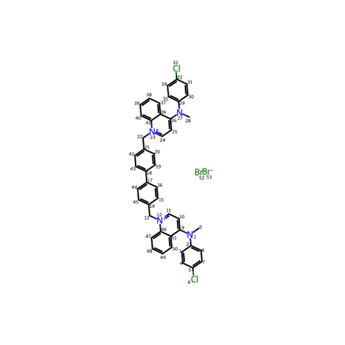 CN(c1ccc(Cl)cc1)c1cc[n+](Cc2ccc(-c3ccc(C[n+]4ccc(N(C)c5ccc(Cl)cc5)c5ccccc54)cc3)cc2)c2ccccc12.[Br-].[Br-]